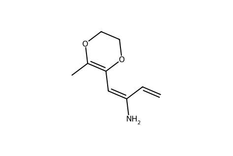 C=C/C(N)=C\C1=C(C)OCCO1